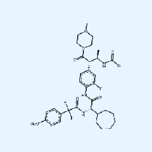 CCC(=O)N[C@H](C)[C@@H](C(=O)N1CCN(C)CC1)c1ccc(NC(=O)[C@@H](NC(=O)C(F)(F)c2ccc(OC)nc2)C2CCCCCC2)c(F)c1